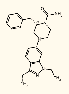 CCc1nn(CC)c2cc(N3CCN(C(N)=O)[C@@H](Cc4ccccc4)C3)ccc12